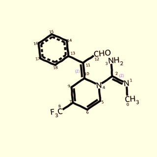 C/N=C(/N)N1C=CC(C(F)(F)F)=C/C1=C(/C=O)c1ccccc1